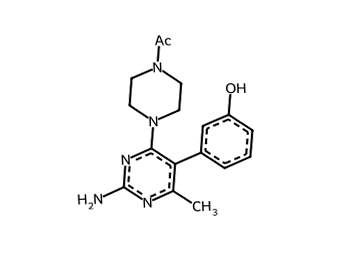 CC(=O)N1CCN(c2nc(N)nc(C)c2-c2cccc(O)c2)CC1